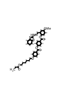 C=CC(=O)OCCCCCCOc1ccc(C(=O)Oc2ccc(C(=O)Oc3ccc(OC)cc3/C=N/Nc3nc4ccccc4s3)cc2)cc1